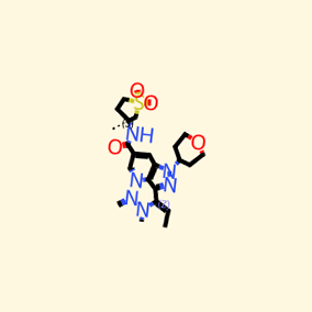 C=NN(C)/C(=C\C)c1nn(C2CCOCC2)c2cc(C(=O)N[C@@]3(C)CCS(=O)(=O)C3)cnc12